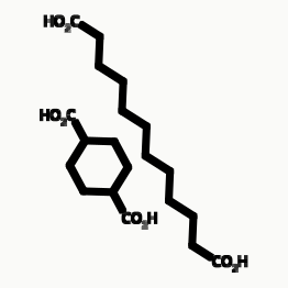 O=C(O)C1CCC(C(=O)O)CC1.O=C(O)CCCCCCCCCCC(=O)O